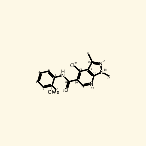 COc1ccccc1NC(=O)c1cnc2c(c(C)nn2C)c1Cl